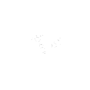 CC(c1ccc(OCCc2coc(-c3cc(C(C)(C)C)c(O)c(C(C)(C)C)c3)n2)cc1)N(C)C.Cl.O